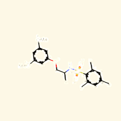 COc1cc(OC)cc(OCC(C)NS(=O)(=O)c2c(C)cc(C)cc2C)c1